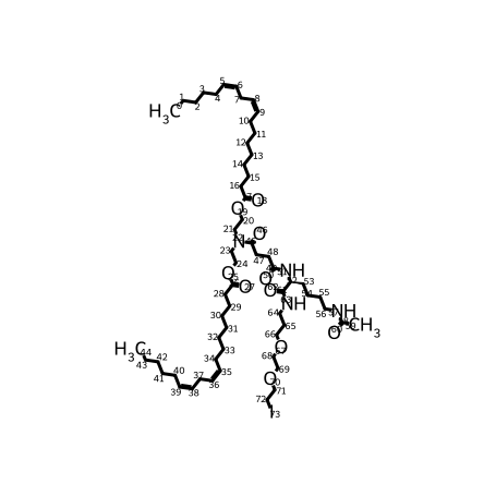 CCCCC/C=C\C/C=C\CCCCCCCC(=O)OCCN(CCOC(=O)CCCCCCC/C=C\C/C=C\CCCCC)C(=O)CCC(=O)N[C@@H](CCCCNC(C)=O)C(=O)NCCCOCCOCCI